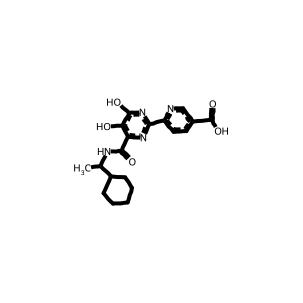 CC(NC(=O)c1nc(-c2ccc(C(=O)O)cn2)nc(O)c1O)C1CCCCC1